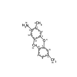 Cc1cc(Oc2cccc(C(F)(F)F)c2)c(C)cc1N